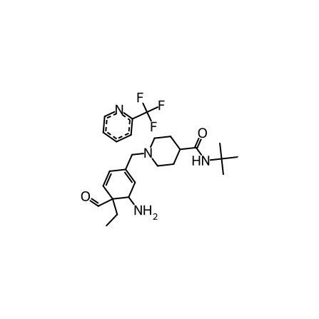 CCC1(C=O)C=CC(CN2CCC(C(=O)NC(C)(C)C)CC2)=CC1N.FC(F)(F)c1ccccn1